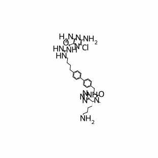 CN(C(=O)CCc1ccc(-c2ccc(CCCCNC(=N)NC(=O)c3nc(Cl)c(N)nc3N)cc2)cc1)[C@H](CCCCN)c1nnn[nH]1